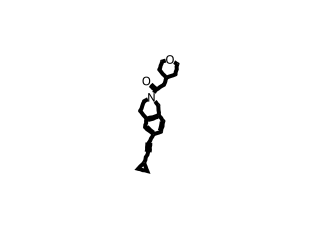 O=C(CC1CCOCC1)N1CCc2cc(C#CC3CC3)ccc2C1